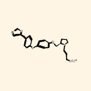 O=C(O)CCCN1CCC[C@@H]1COc1ccc(Oc2ccc(-c3cnco3)cc2)cc1